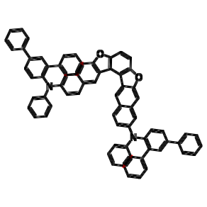 c1ccc(-c2ccc(N(c3ccccc3)c3ccc4cc5c(cc4c3)oc3ccc4oc6cc7cc(N(c8ccccc8)c8ccc(-c9ccccc9)cc8-c8ccccc8)ccc7cc6c4c35)c(-c3ccccc3)c2)cc1